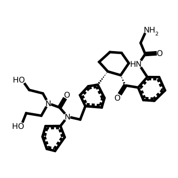 NCC(=O)Nc1ccccc1C(=O)[C@H]1CCCC[C@H]1c1ccc(CN(C(=O)N(CCO)CCO)c2ccccc2)cc1